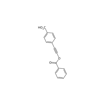 O=C(O)c1ccc(C#COC(=O)c2ccccc2)cc1